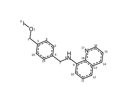 IOCc1ccc(CNc2cccc3cccnc23)cc1